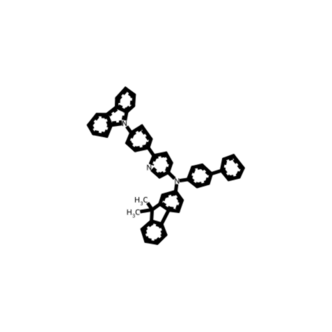 CC1(C)c2ccccc2-c2ccc(N(c3ccc(-c4ccccc4)cc3)c3ccc(-c4ccc(-n5c6ccccc6c6ccccc65)cc4)nc3)cc21